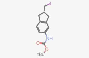 CC(C)(C)OC(=O)Nc1ccc2c(c1)C[C@H](CI)C2